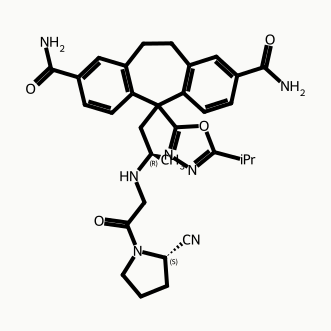 CC(C)c1nnc(C2(C[C@@H](C)NCC(=O)N3CCC[C@H]3C#N)c3ccc(C(N)=O)cc3CCc3cc(C(N)=O)ccc32)o1